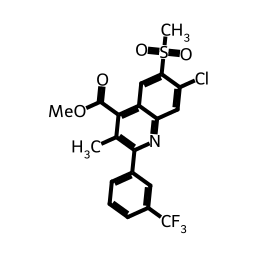 COC(=O)c1c(C)c(-c2cccc(C(F)(F)F)c2)nc2cc(Cl)c(S(C)(=O)=O)cc12